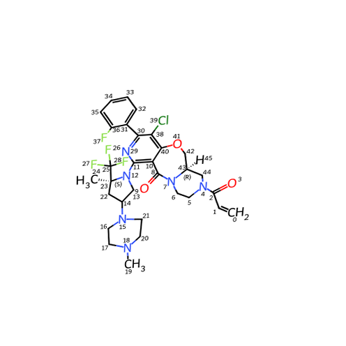 C=CC(=O)N1CCN2C(=O)c3c(N4CC(N5CCN(C)CC5)C[C@@]4(C)C(F)(F)F)nc(-c4ccccc4F)c(Cl)c3OC[C@H]2C1